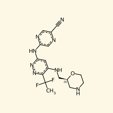 CC(F)(F)c1nnc(Nc2cnc(C#N)cn2)cc1NC[C@@H]1CNCCO1